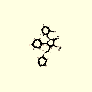 Cc1cccnc1N1C(=O)C(O)=C(COc2ccccc2)C1c1ccccc1